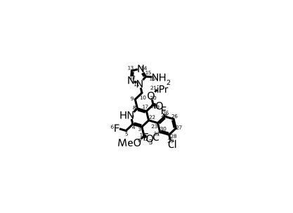 COC(=O)C1=C(CF)NC(CCn2ncnc2N)=C(C(=O)OC(C)C)C1c1c(F)ccc(Cl)c1C(F)(F)F